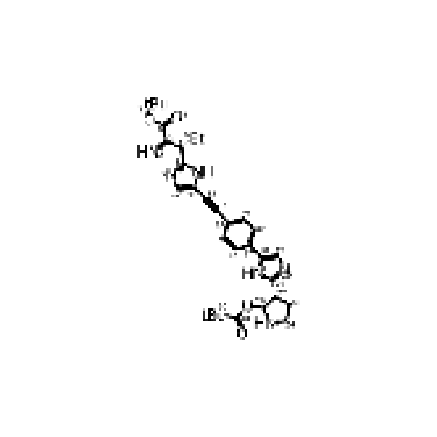 CC[C@@H](C(=N)C(=O)OC(C)(C)C)c1ncc(C#Cc2ccc(-c3cnc([C@@H]4CCNC4OC(=O)C(C)(C)C)[nH]3)cc2)[nH]1